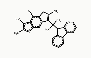 CC1=C(C(C)(C)C2c3ccccc3-c3ccccc32)c2cc3sc(C)c(C)c3c(Br)c2C1